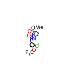 COC(=O)[C@H]1CCCc2nn(Cc3ccc(OC(F)(F)F)c(Cl)c3)c(=O)n21